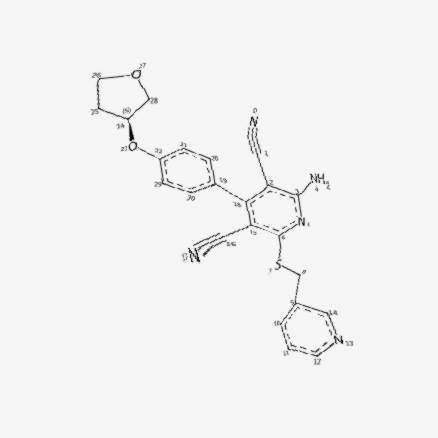 N#Cc1c(N)nc(SCc2cccnc2)c(C#N)c1-c1ccc(O[C@H]2CCOC2)cc1